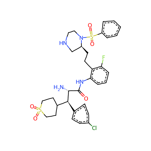 N[C@H](C(=O)Nc1cccc(F)c1CC[C@H]1CNCCN1S(=O)(=O)c1ccccc1)[C@@H](c1ccc(Cl)cc1)C1CCS(=O)(=O)CC1